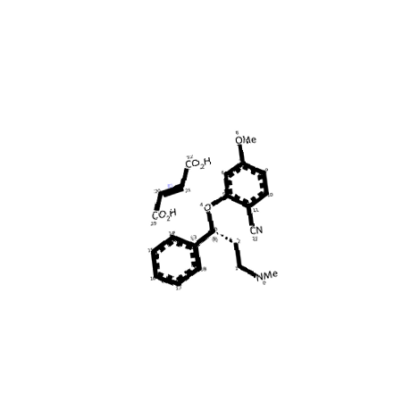 CNCC[C@@H](Oc1cc(OC)ccc1C#N)c1ccccc1.O=C(O)/C=C/C(=O)O